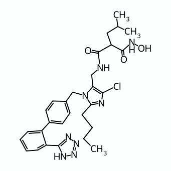 CCCCc1nc(Cl)c(CNC(=O)C(CC(C)C)C(=O)NO)n1Cc1ccc(-c2ccccc2-c2nnn[nH]2)cc1